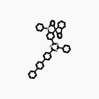 c1ccc(-c2ccc(-c3ccc(-c4nc(-c5ccccc5)nc(-c5ccc6c(c5)C5(c7ccccc7-c7ccccc75)c5ccccc5N6c5ccccc5)n4)cc3)cc2)cc1